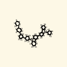 C1=CCC(c2ccc(-c3cccc(-c4ccc(-n5c6ccccc6c6cc(-c7ccc8c(c7)c7ccccc7n8-c7ccccc7)ccc65)cc4)c3)cc2)C=C1